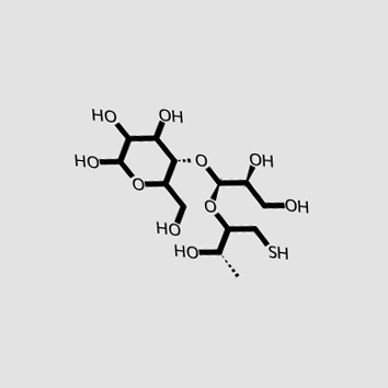 C[C@H](O)C(CS)O[C@@H](O[C@@H]1C(CO)OC(O)C(O)C1O)[C@@H](O)CO